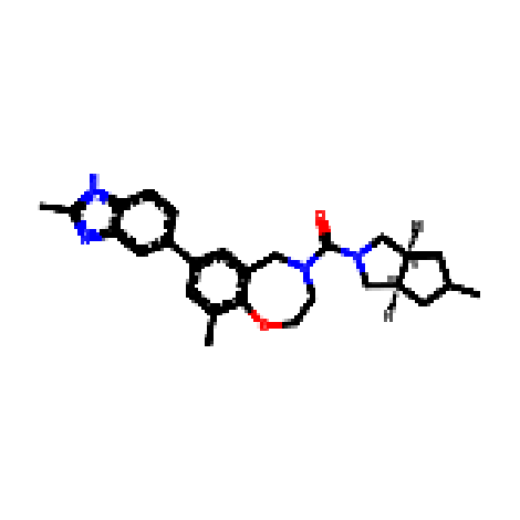 Cc1nc2cc(-c3cc(C)c4c(c3)CN(C(=O)N3C[C@H]5CC(C)C[C@H]5C3)CCO4)ccc2[nH]1